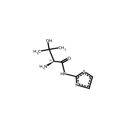 CC(C)(O)[C@H](N)C(=O)Nc1nccs1